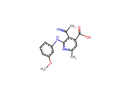 COc1cccc(Nc2nc(C)cc(C(=O)O)c2C(C)=N)c1